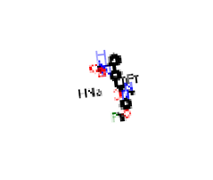 CCCc1nc(C)n(-c2ccc(OC(C)CF)cc2)c(=O)c1Cc1ccc(-c2ccccc2-c2noc(=O)[nH]2)cc1.[NaH]